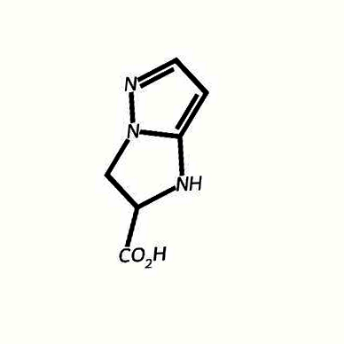 O=C(O)C1Cn2nccc2N1